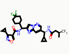 C[C@@H](CC(=O)N[C@@H](c1cnn2cc([C@@H](NC(=O)c3conc3C3CC3)C3CCC(F)(F)CC3)nc2c1)C1CC1)C(F)(F)F